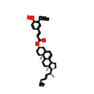 COc1cc(/C=C/C(=O)O[C@H]2CC[C@@]3(C)C(=CC=C4C3CC[C@@]3(C)C4CC[C@@H]3[C@H](C)/C=C/CC(C)C)C2)ccc1O